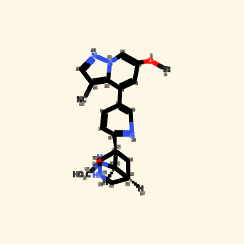 CCOc1cc(-c2ccc([C@@]34CNC[C@H](C3)[C@H]4NC(=O)O)nc2)c2c(C#N)cnn2c1